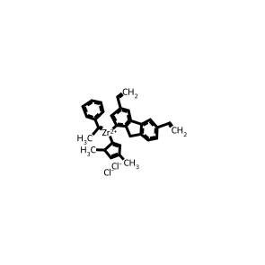 C=Cc1ccc2c(c1)-c1cc(C=C)c[c](/[Zr+2]([C]3=CC(C)=CC3C)=[C](/C)c3ccccc3)c1C2.[Cl-].[Cl-]